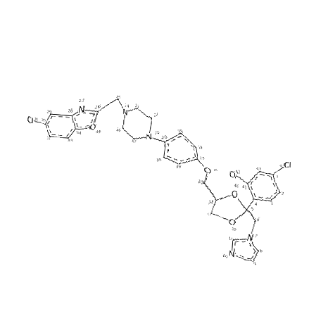 Clc1ccc(C2(Cn3ccnc3)OCC(COc3ccc(N4CCN(Cc5nc6cc(Cl)ccc6o5)CC4)cc3)O2)c(Cl)c1